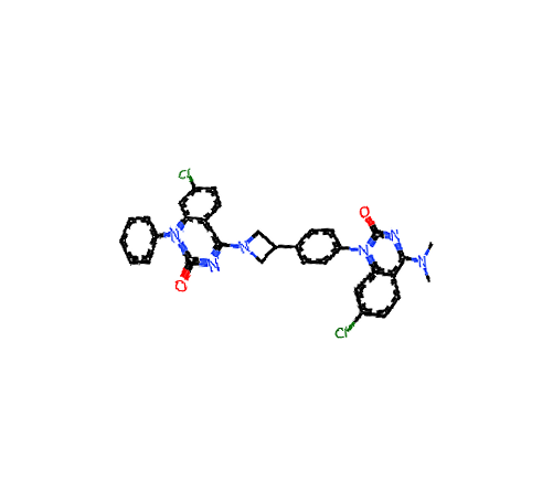 CN(C)c1nc(=O)n(-c2ccc(C3CN(c4nc(=O)n(-c5ccccc5)c5cc(Cl)ccc45)C3)cc2)c2cc(Cl)ccc12